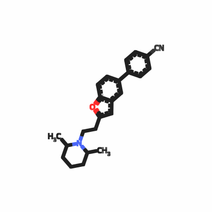 CC1CCCC(C)N1CCc1cc2cc(-c3ccc(C#N)cc3)ccc2o1